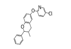 CC1Cc2cc(Oc3ccc(Cl)cn3)ccc2OC1c1ccccc1